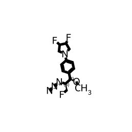 CO[C@H](c1ccc(N2CC(F)C(F)C2)cc1)[C@@H](CF)N=[N+]=[N-]